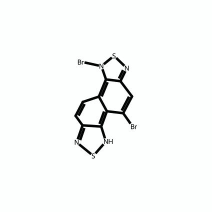 Brc1cc2c(c3ccc4c(c13)NSN=4)N(Br)SN=2